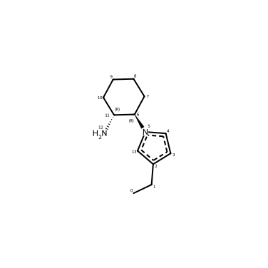 CCc1ccn([C@@H]2CCCC[C@H]2N)c1